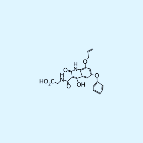 C=CCOc1cc(Oc2ccccc2)cc2c(O)c(C(=O)NCC(=O)O)c(=O)[nH]c12